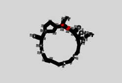 CC(C)N[C@]1(C)CCCCCCC=CCOC(=O)N2CC[C@@](C(=O)C(C)C)(C2)NCC1=O